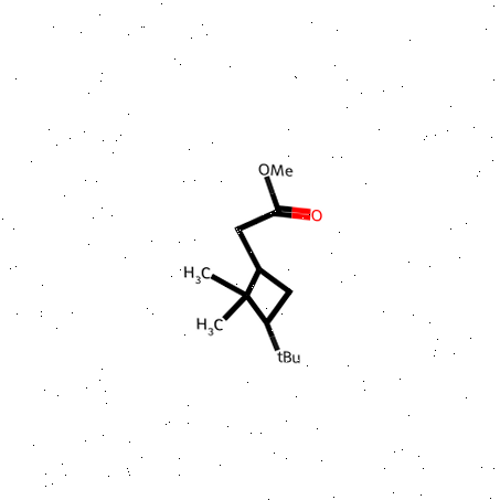 COC(=O)CC1CC(C(C)(C)C)C1(C)C